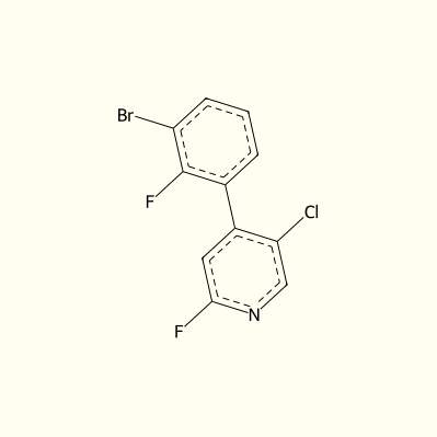 Fc1cc(-c2cccc(Br)c2F)c(Cl)cn1